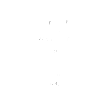 N[C@H]1CCN(C(=O)C(F)(F)F)C1